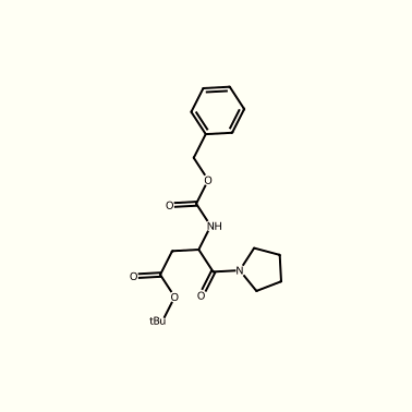 CC(C)(C)OC(=O)CC(NC(=O)OCc1ccccc1)C(=O)N1CCCC1